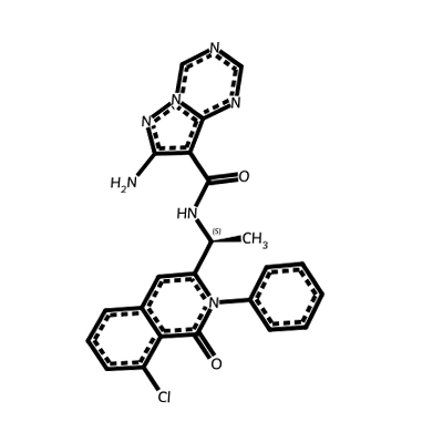 C[C@H](NC(=O)c1c(N)nn2cncnc12)c1cc2cccc(Cl)c2c(=O)n1-c1ccccc1